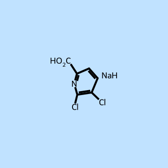 O=C(O)c1ccc(Cl)c(Cl)n1.[NaH]